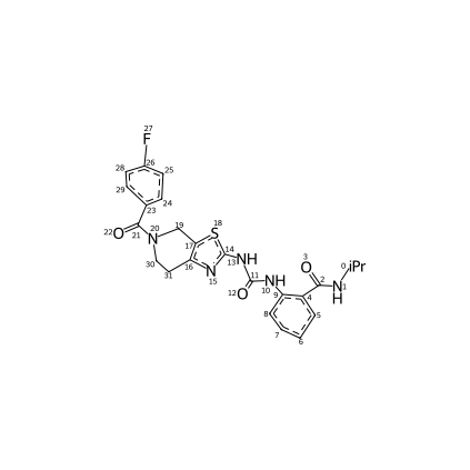 CC(C)NC(=O)c1ccccc1NC(=O)Nc1nc2c(s1)CN(C(=O)c1ccc(F)cc1)CC2